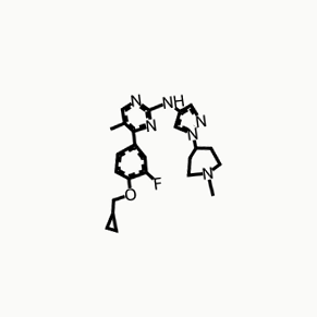 Cc1cnc(Nc2cnn(C3CCN(C)CC3)c2)nc1-c1ccc(OCC2CC2)c(F)c1